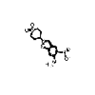 COc1cc2nn(C3CCS(=O)(=O)CC3)cc2cc1[N+](=O)[O-]